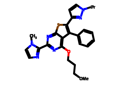 COCCCOc1nc(-c2nccn2C)nc2sc(-c3ccn(C(C)C)n3)c(-c3ccccc3)c12